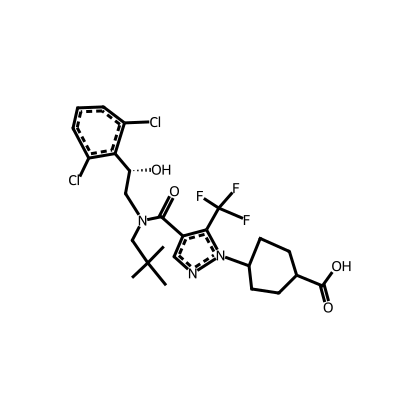 CC(C)(C)CN(C[C@@H](O)c1c(Cl)cccc1Cl)C(=O)c1cnn(C2CCC(C(=O)O)CC2)c1C(F)(F)F